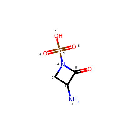 NC1CN(S(=O)(=O)O)C1=O